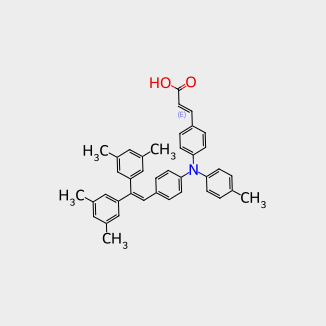 Cc1ccc(N(c2ccc(C=C(c3cc(C)cc(C)c3)c3cc(C)cc(C)c3)cc2)c2ccc(/C=C/C(=O)O)cc2)cc1